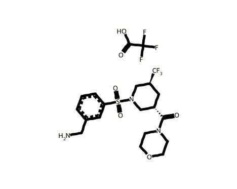 NCc1cccc(S(=O)(=O)N2C[C@@H](C(=O)N3CCOCC3)C[C@H](C(F)(F)F)C2)c1.O=C(O)C(F)(F)F